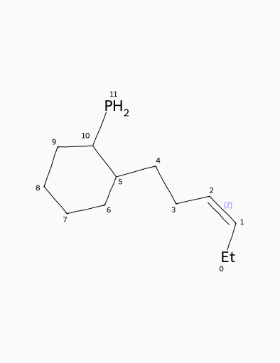 CC/C=C\CCC1CCCCC1P